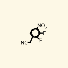 N#CCc1ccc([N+](=O)[O-])c(F)c1F